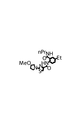 CCCNC(=O)c1cc(CC)ccc1NC(=O)c1csc(N2CC[C@H](OC)C2)n1